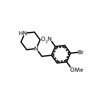 COc1cc(CN2CCNCC2)c([N+](=O)[O-])cc1Br